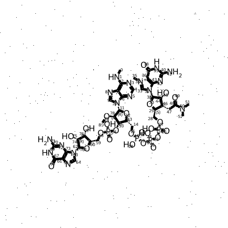 CNc1ncnc2c1ncn2[C@@H]1O[C@H](COP(=O)(O)OP(=O)(O)OP(=O)(O)OC[C@H]2O[C@@H](n3c[n+](C)c4c(=O)[nH]c(N)nc43)[C@H](O)[C@@H]2CC(=O)N(C)C)[C@@H](OP(=O)(O)OC[C@H]2O[C@@H](n3cnc4c(=O)[nH]c(N)nc43)[C@H](O)[C@@H]2O)[C@H]1OC